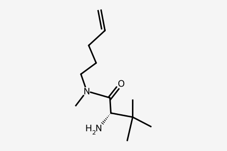 C=CCCCN(C)C(=O)[C@@H](N)C(C)(C)C